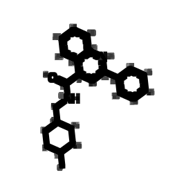 CC1CCC(CNC(=O)c2cc(-c3ccccc3)nc3ccccc23)CC1